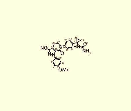 COc1ccc(-n2nc(C#N)c3c2C(=O)N(c2ccc(C4(NC(N)=O)CC4)cc2)CC3)cc1